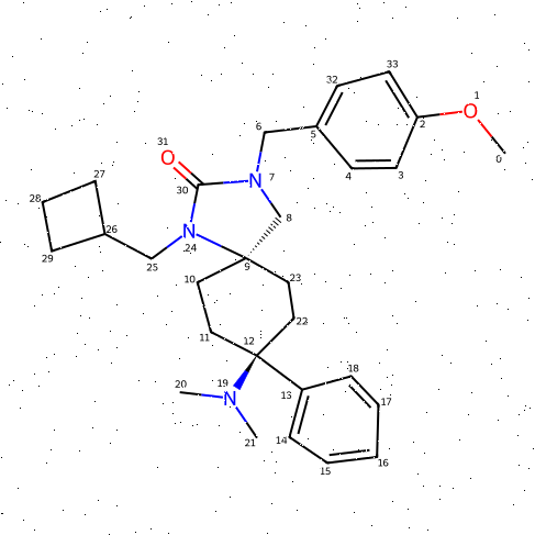 COc1ccc(CN2C[C@]3(CC[C@](c4ccccc4)(N(C)C)CC3)N(CC3CCC3)C2=O)cc1